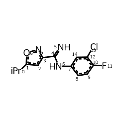 CC(C)c1cc(C(=N)Nc2ccc(F)c(Cl)c2)no1